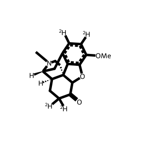 [2H]c1c([2H])c(OC)c2c3c1C[C@@H]1[C@@H]4CC([2H])([2H])C(=O)C(O2)[C@]34CCN1C